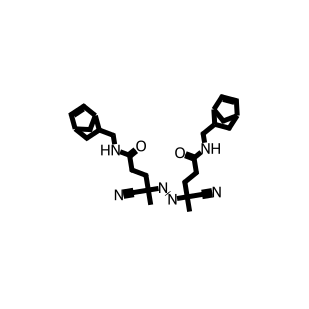 CC(C#N)(CCC(=O)NCC1CC2C=CC1C2)N=NC(C)(C#N)CCC(=O)NCC1CC2C=CC1C2